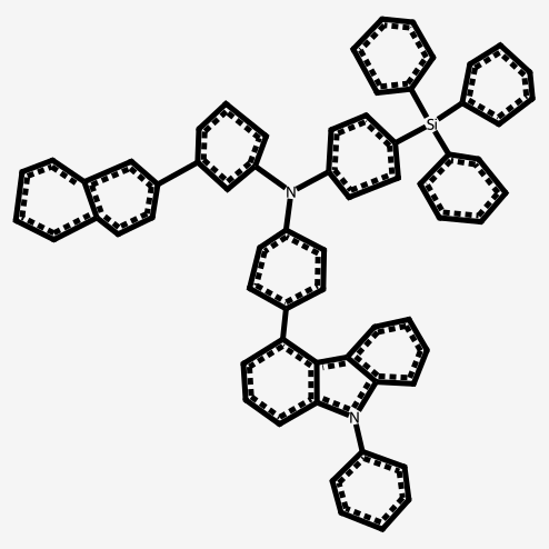 c1ccc(-n2c3ccccc3c3c(-c4ccc(N(c5ccc([Si](c6ccccc6)(c6ccccc6)c6ccccc6)cc5)c5cccc(-c6ccc7ccccc7c6)c5)cc4)cccc32)cc1